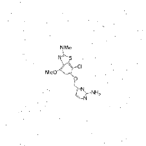 CNc1nc2c(OC)cc(OCc3ccnc(N)n3)c(Cl)c2s1